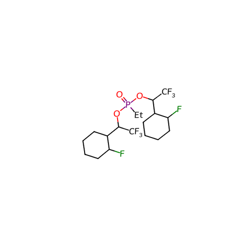 CCP(=O)(OC(C1CCCCC1F)C(F)(F)F)OC(C1CCCCC1F)C(F)(F)F